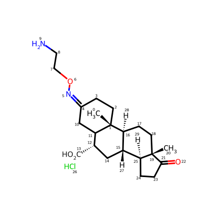 C[C@]12CCC(=NOCCN)CC1[C@@H](C(=O)O)C[C@@H]1[C@@H]2CC[C@]2(C)C(=O)CC[C@@H]12.Cl